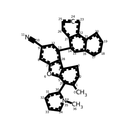 Cc1ccc2c(oc3cc(C#N)cc(-c4cc5ccccc5c5ccccc45)c32)c1-c1cccc[n+]1C